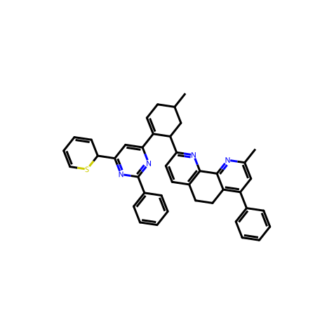 Cc1cc(-c2ccccc2)c2c(n1)-c1nc(C3CC(C)CC=C3c3cc(C4C=CC=CS4)nc(-c4ccccc4)n3)ccc1CC2